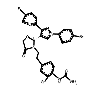 NC(=O)Nc1ccc(CCN2C(=O)CO[C@@H]2c2cn(-c3ccc(Br)cc3)nc2-c2ccc(F)cc2)cc1Br